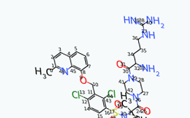 Cc1ccc2cccc(OCc3c(Cl)ccc(S(=O)(=O)NC(C)(C)C(=O)N4CCN(C(=O)[C@H](N)CCCNC(=N)N)CC4)c3Cl)c2n1